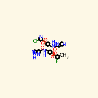 Cc1cc(F)cc(S(=O)(=O)c2ccc(CNC(=O)c3cnc4[nH]ncc4c3)cc2)c1.O=C(NCc1ccc(S(=O)(=O)c2cncc(Cl)c2)cc1)c1cc2cnccc2[nH]1